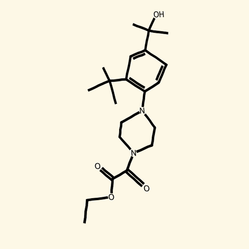 CCOC(=O)C(=O)N1CCN(c2ccc(C(C)(C)O)cc2C(C)(C)C)CC1